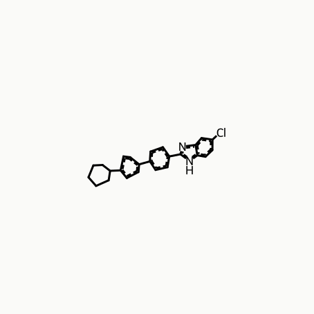 Clc1ccc2[nH]c(-c3ccc(-c4ccc(C5CCCCC5)cc4)cc3)nc2c1